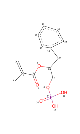 C=C(C)C(=O)OC(COP(=O)(O)O)Cc1ccccc1